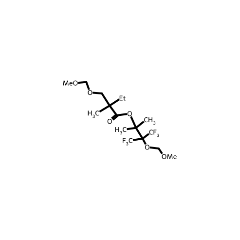 CCC(C)(COCOC)C(=O)OC(C)(C)C(OCOC)(C(F)(F)F)C(F)(F)F